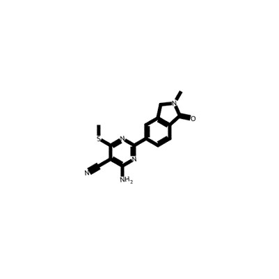 CSc1nc(-c2ccc3c(c2)CN(C)C3=O)nc(N)c1C#N